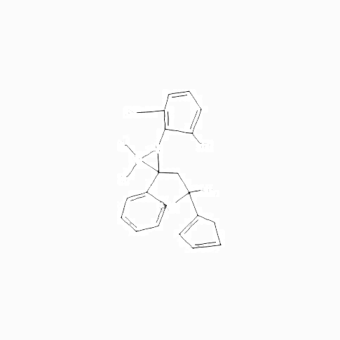 CC(C)c1cccc(C(C)C)c1[N]1[C](CC(C)(C)C2=CC=CC2)(c2ccccc2)[Cr]1([Cl])[Cl]